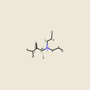 C=C(C(C)C)[C@@H](C)N(CCC)CCC